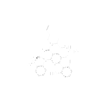 C=CCCN(/C(=N/C)c1cc(Cl)c(-c2c(O)cccc2F)nc1N(C=O)c1ccccc1S(C)(=O)=O)C(C)CNC=O